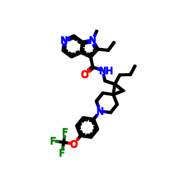 CCCC1(CNC(=O)c2c(CC)n(C)c3cnccc23)CC12CCN(c1ccc(OC(F)(F)F)cc1)CC2